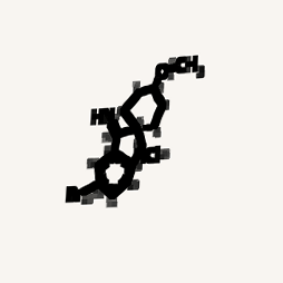 CO[C@H]1CC[C@]2(CC1)Cc1ccc(Br)cc1C2=N.Cl